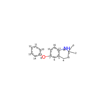 CC1(C)CCc2cc(Oc3ccccc3)ccc2N1